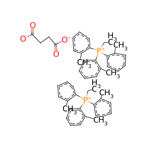 CC[P+](c1ccccc1C)(c1ccccc1C)c1ccccc1C.CC[P+](c1ccccc1C)(c1ccccc1C)c1ccccc1C.O=C([O-])CCC(=O)[O-]